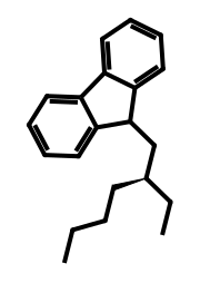 CCCC[C@H](CC)CC1c2ccccc2-c2ccccc21